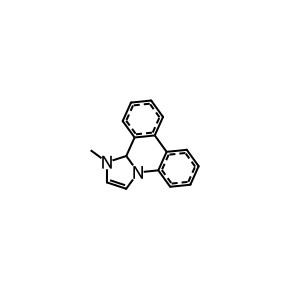 CN1C=CN2c3ccccc3-c3ccccc3C12